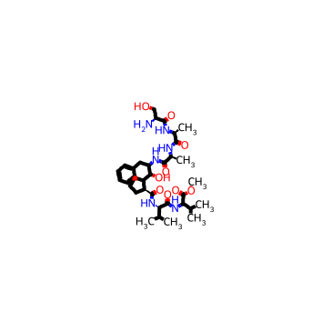 COC(=O)C(NC(=O)[C@@H](NC(=O)[C@H]1CCCC1C(O)C(Cc1ccccc1)NC(=O)[C@H](C)NC(=O)[C@H](C)NC(=O)[C@@H](N)CO)C(C)C)C(C)C